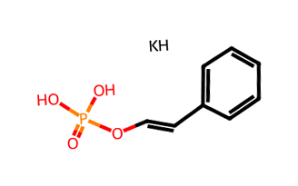 O=P(O)(O)OC=Cc1ccccc1.[KH]